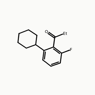 CCC(=O)c1c(F)cccc1C1CCCCC1